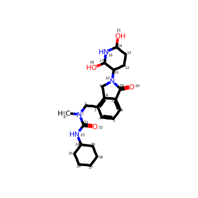 CN(Cc1cccc2c1CN(C1CCC(O)NC1O)C2=O)C(=O)NC1CCCCC1